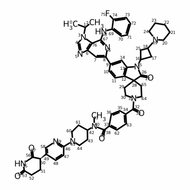 CC(C)n1cnc2cc(-c3ccc4c(c3)N(C3CC(N5CCCCC5)C3)C(=O)C43CCN(C(=O)c4ccc(C(=O)N(C)C5CCN(c6ccc([C@H]7CCC(=O)NC7=O)cn6)CC5)cc4)CC3)nc(Nc3ccccc3F)c21